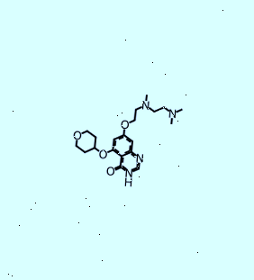 CN(C)CCN(C)CCOc1cc(OC2CCOCC2)c2c(=O)[nH]cnc2c1